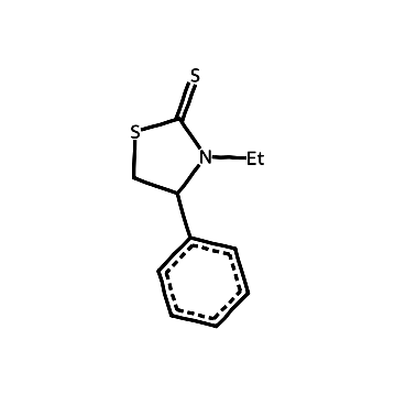 CCN1C(=S)SCC1c1ccccc1